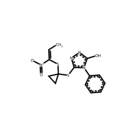 C/C=C(\SC1(Sc2nnc(O)n2-c2ccccc2)CC1)[N+](=O)[O-]